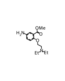 CCN(CC)CCOc1ccc(N)cc1C(=O)OC